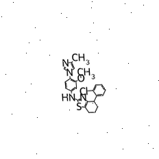 COc1cc(Nc2nc3c(s2)CCCC3c2ccccc2Cl)ccc1-n1cnc(C)c1